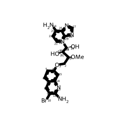 CO[C@H](COc1ccc2cc(Br)c(N)nc2c1)[C@@H](O)[C@@H](O)n1ccc(N)c2ncnc1-2